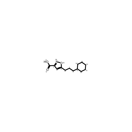 O=C(O)c1cc(CCCC2CCCCC2)on1